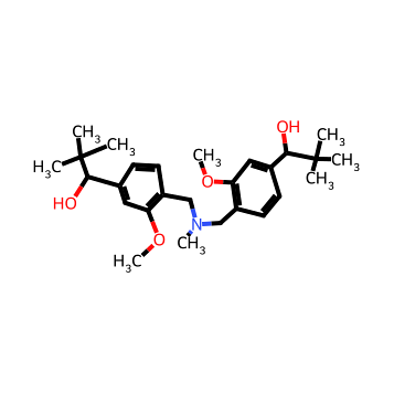 COc1cc(C(O)C(C)(C)C)ccc1CN(C)Cc1ccc(C(O)C(C)(C)C)cc1OC